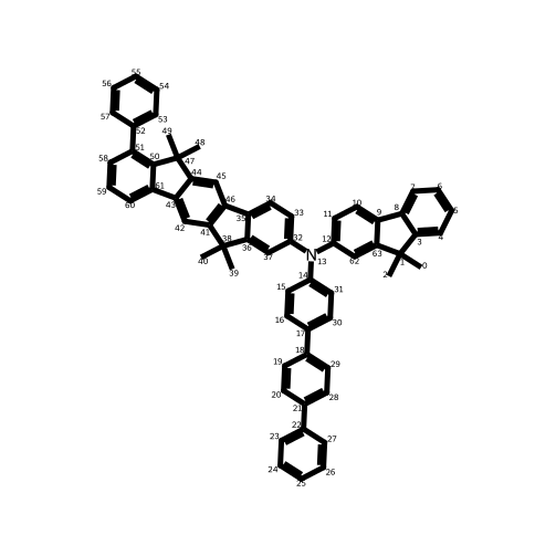 CC1(C)c2ccccc2-c2ccc(N(c3ccc(-c4ccc(-c5ccccc5)cc4)cc3)c3ccc4c(c3)C(C)(C)c3cc5c(cc3-4)C(C)(C)c3c(-c4ccccc4)cccc3-5)cc21